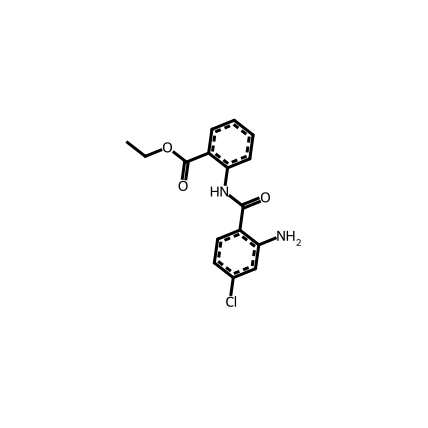 CCOC(=O)c1ccccc1NC(=O)c1ccc(Cl)cc1N